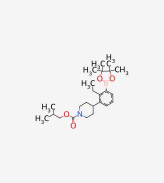 CCc1c(B2OC(C)(C)C(C)(C)O2)cccc1C1CCN(C(=O)OCC(C)C)CC1